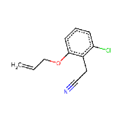 C=CCOc1cccc(Cl)c1CC#N